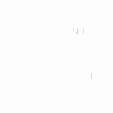 Cc1ccc2c(c1Cl)NCCC2